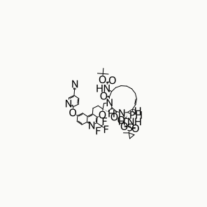 CC(C)(C)OC(=O)N[C@H]1CCCCC/C=C\[C@@H]2P[C@@]2(C(=O)NS(=O)(=O)C2(C)CC2)NC(=O)[C@@H]2C[C@]3(CCc4c(c(C(F)(F)F)nc5ccc(Oc6ccc(C#N)cn6)cc45)O3)CN2C1=O